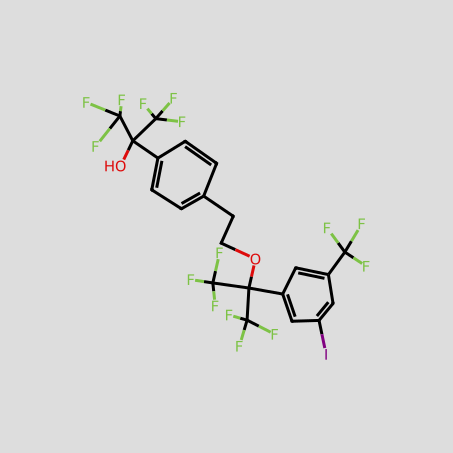 OC(c1ccc(CCOC(c2cc(I)cc(C(F)(F)F)c2)(C(F)(F)F)C(F)(F)F)cc1)(C(F)(F)F)C(F)(F)F